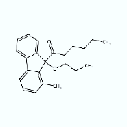 CCCCCC(=O)C1(OCCC)c2ccccc2-c2cccc(C)c21